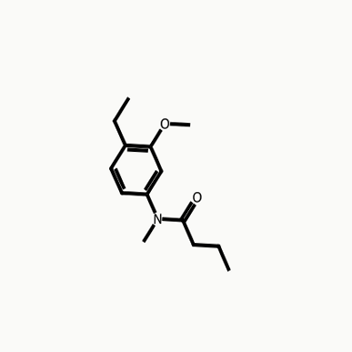 CCCC(=O)N(C)c1ccc(CC)c(OC)c1